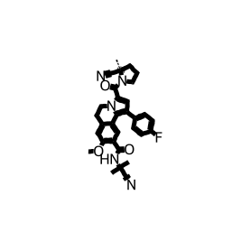 COc1cc2c(cc1C(=O)NC(C)(C)C#N)-c1c(-c3ccc(F)cc3)cc(C(=O)N3CCC[C@]3(C)C#N)n1CC2